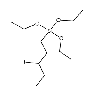 CCO[Si](CCC(I)CC)(OCC)OCC